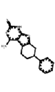 Nc1nc(=S)[nH]c2sc3c(c12)CCC(c1ccccc1)C3